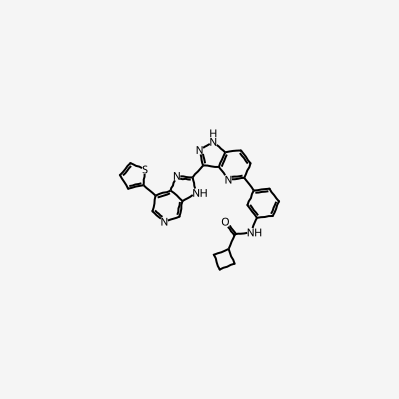 O=C(Nc1cccc(-c2ccc3[nH]nc(-c4nc5c(-c6cccs6)cncc5[nH]4)c3n2)c1)C1CCC1